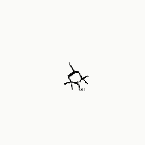 CC1(C)C=C(I)CC(C)(C)N1O